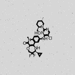 C[C@H]1CC[C@H](CO)N(c2ncc(Cl)c(Nc3ccc4c(c3)c3c(c(=O)n4C)OCC(F)(F)[C@H](C4CC4)N3)n2)C1